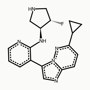 F[C@H]1CNC[C@@H]1Nc1ncccc1-c1cnc2ccc(C3CC3)nn12